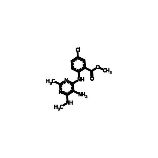 CNc1nc(C)nc(Nc2ccc(Cl)cc2C(=O)OC)c1N